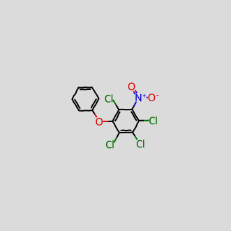 O=[N+]([O-])c1c(Cl)c(Cl)c(Cl)c(Oc2ccccc2)c1Cl